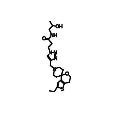 CCc1cc2c(s1)CCOC21CCN(Cc2cn(CCC(=O)NCC(C)O)nn2)CC1